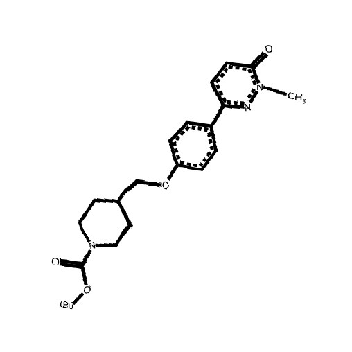 Cn1nc(-c2ccc(OCC3CCN(C(=O)OC(C)(C)C)CC3)cc2)ccc1=O